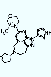 C[C@@H]1COCCN1c1cc2c3c(nn(-c4cc[nH]n4)c3n1)CCN(C1CCOC1)C2